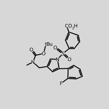 CN(Cc1cc(-c2ccccc2F)n(S(=O)(=O)c2cccc(C(=O)O)c2)c1)C(=O)OC(C)(C)C